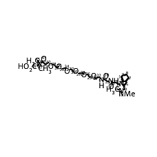 CNN(C)Cc1cc2ccccc2n1CCC(=O)NCC(=O)NCCOCCOCCOCCOCCOCCOCCC(=O)N(C)C(C)C(=O)O